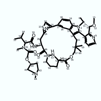 CCn1c(-c2cccnc2[C@H](C)OC)c2c3cc(ccc31)-c1csc(n1)C[C@H](NC(=O)C(C(C)C)N(C)C(=O)O[C@H]1CCN(C)C1)C(=O)N1CCC[C@H](N1)C(=O)OCC(C)(C)C2